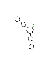 ClC1=C=CC(c2ccc(-c3ccccc3)cc2)=C=C/C(c2ccc(-c3ccccc3)cc2)=C\1